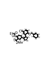 CCC(=O)Nc1ccc(C2=C(c3cc(Cl)ccc3OCc3ccccc3)CCC2)cc1C(=O)OC